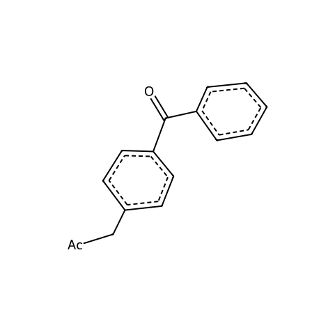 CC(=O)Cc1ccc(C(=O)c2ccccc2)cc1